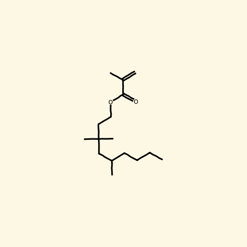 C=C(C)C(=O)OCCC(C)(C)CC(C)CCCC